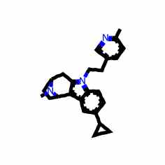 Cc1ccc(CCn2c3c(c4cc(C5CC5)ccc42)C2CCC(C3)N2C)cn1